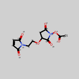 CCC(=O)ON1C(=O)CC(OCCN2C(=O)C=CC2=O)C1=O